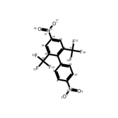 O=[N+]([O-])c1ccc(-c2c(C(F)(F)F)cc([N+](=O)[O-])cc2C(F)(F)F)cc1